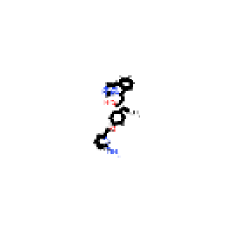 C=C[C@]1(C(O)CC2c3ccccc3-c3cncn32)CC[C@H](OCc2cccc(N)n2)CC1